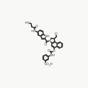 O=C(CCS)Nc1ccc2[nH]c(C(=O)N3CC(CCl)c4c3cc(OC(=O)Nc3cccc(S(=O)(=O)O)c3)c3ccccc43)cc2c1